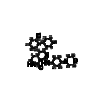 O=c1[nH]ccc2cc(-c3ccccc3-c3ccccc3Cl)nc(Nc3ccc(N4CCOCC4)cc3)c12